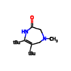 CN1CC(=O)NC(C(C)(C)C)=C(C(C)(C)C)C1